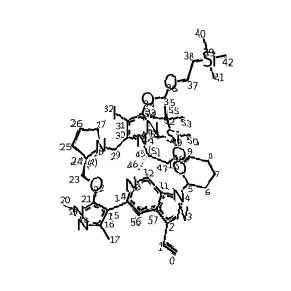 C=Cc1nn(C2CCCCO2)c2cnc(-c3c(C)nn(C)c3OC[C@H]3CCCN3Cc3c(I)c(OCOCC[Si](C)(C)C)nn3[C@@H](C)CO[Si](C)(C)C(C)(C)C)cc12